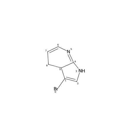 BrC1=CNC2=NC=CCC12